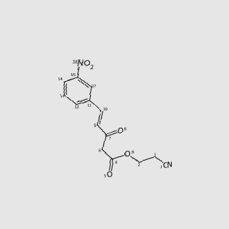 N#CCCOC(=O)CC(=O)C=Cc1cccc([N+](=O)[O-])c1